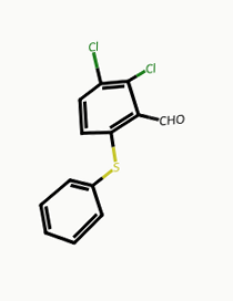 O=Cc1c(Sc2ccccc2)ccc(Cl)c1Cl